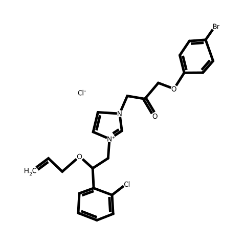 C=CCOC(C[n+]1ccn(CC(=O)COc2ccc(Br)cc2)c1)c1ccccc1Cl.[Cl-]